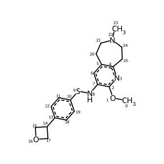 COc1nc2c(cc1NSc1ccc(C3COC3)cc1)CCN(C)CC2